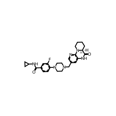 O=C(NC1CC1)c1ccc(N2CCN(Cc3cnc4c(c3)NC(=O)[C@@H]3CCCCN43)CC2)c(F)c1